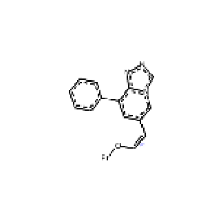 CCO/C=C\c1cc(-c2ccccc2)c2nncn2c1